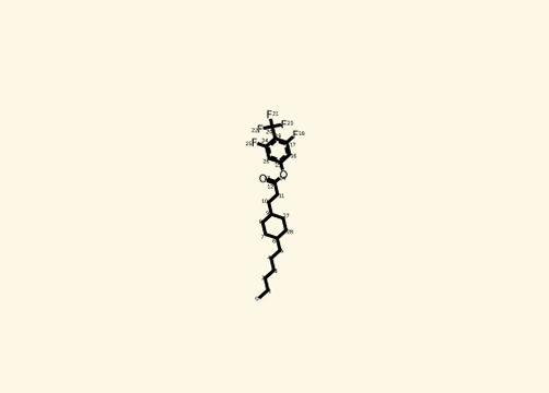 CCCCCCC1CCC(CCC(=O)Oc2cc(F)c(C(F)(F)F)c(F)c2)CC1